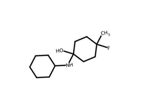 CC1(F)CCC(O)(NC2CCCCC2)CC1